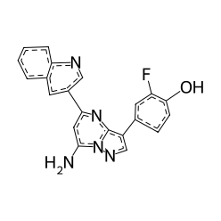 Nc1cc(-c2cnc3ccccc3c2)nc2c(-c3ccc(O)c(F)c3)cnn12